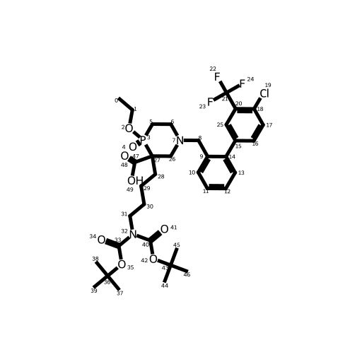 CCOP1(=O)CCN(Cc2ccccc2-c2ccc(Cl)c(C(F)(F)F)c2)CC1(CCCCN(C(=O)OC(C)(C)C)C(=O)OC(C)(C)C)C(=O)O